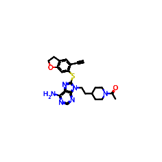 C#Cc1cc2c(cc1Sc1nc3c(N)ncnc3n1CCC1CCN(C(C)=O)CC1)OCC2